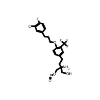 NC(CO)(CCc1ccc(OCCCc2ccc(F)c(Cl)c2)c(C(F)(F)F)c1)COP=O